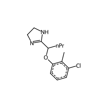 CCCC(Oc1cccc(Cl)c1C)C1=NCCN1